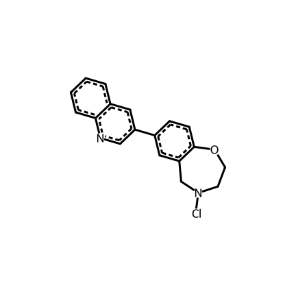 ClN1CCOc2ccc(-c3cnc4ccccc4c3)cc2C1